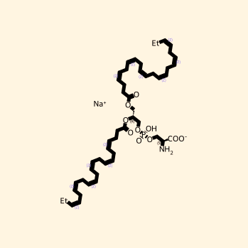 CC/C=C\C/C=C\C/C=C\C/C=C\C/C=C\C/C=C\CCC(=O)OC[C@H](COP(=O)(O)OC[C@H](N)C(=O)[O-])OC(=O)CC/C=C\C/C=C\C/C=C\C/C=C\C/C=C\C/C=C\CC.[Na+]